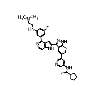 CN(C)CCNc1cc(F)cc(-c2nccc3[nH]c(-c4n[nH]c5ncc(-c6cncc(NC(=O)C7CCCC7)c6)cc45)cc23)c1